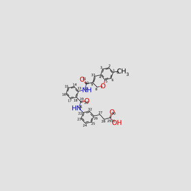 Cc1ccc2c(c1)OCC(C(=O)Nc1ccccc1C(=O)Nc1cccc(CCC(=O)O)c1)=C2